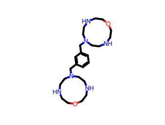 c1cc(CN2CCNCCOCCNCC2)cc(CN2CCNCCOCCNCC2)c1